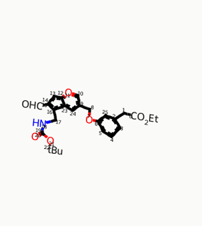 CCOC(=O)Cc1cccc(OCc2coc3cc(C=O)c(CNC(=O)OC(C)(C)C)c-3c2)c1